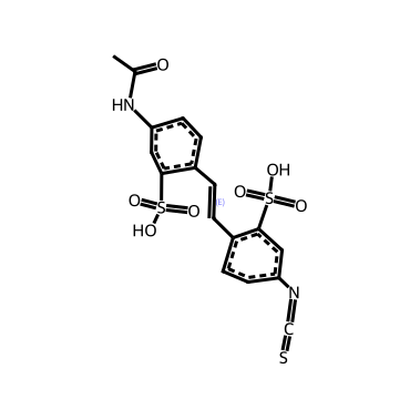 CC(=O)Nc1ccc(/C=C/c2ccc(N=C=S)cc2S(=O)(=O)O)c(S(=O)(=O)O)c1